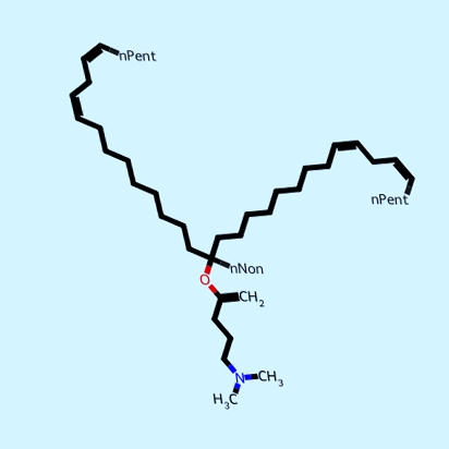 C=C(CCCN(C)C)OC(CCCCCCCCC)(CCCCCCCC/C=C\C/C=C\CCCCC)CCCCCCCC/C=C\C/C=C\CCCCC